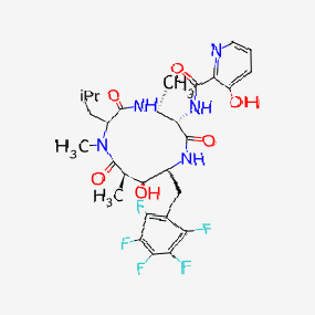 CC(C)CC1C(=O)N[C@H](C)[C@H](NC(=O)c2ncccc2O)C(=O)N[C@@H](Cc2c(F)c(F)c(F)c(F)c2F)[C@@H](O)[C@@H](C)C(=O)N1C